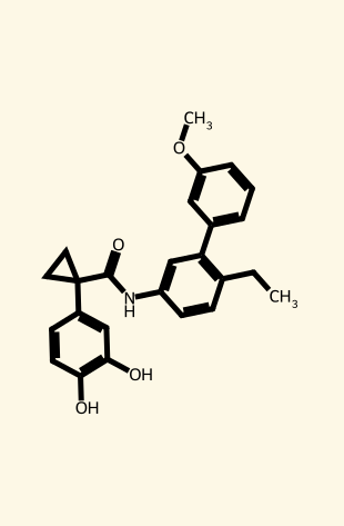 CCc1ccc(NC(=O)C2(c3ccc(O)c(O)c3)CC2)cc1-c1cccc(OC)c1